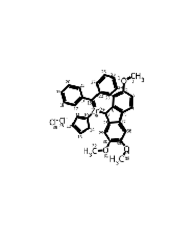 COc1ccc2c(c1)[CH]([Zr+2]([C]1=CC=CC1)=[C](c1ccccc1)c1ccccc1)c1cc(OC)c(OC)cc1-2.[Cl-].[Cl-]